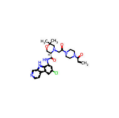 C=CC(=O)N1CCN(C(=O)CN2CC(C)(C)OC[C@H]2C(=O)Nc2cc(Cl)cc3c2[nH]c2cnccc23)CC1